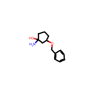 NC1(O)CCCC(OCc2ccccc2)C1